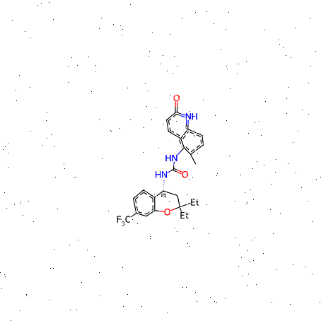 CCC1(CC)C[C@@H](NC(=O)Nc2c(C)ccc3[nH]c(=O)ccc23)c2ccc(C(F)(F)F)cc2O1